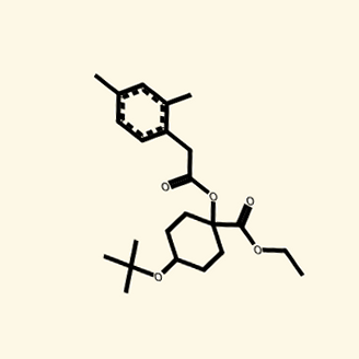 CCOC(=O)C1(OC(=O)Cc2ccc(C)cc2C)CCC(OC(C)(C)C)CC1